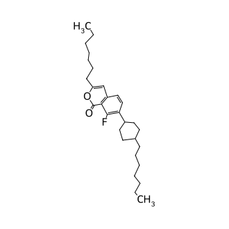 CCCCCCCc1cc2ccc(C3CCC(CCCCCCC)CC3)c(F)c2c(=O)o1